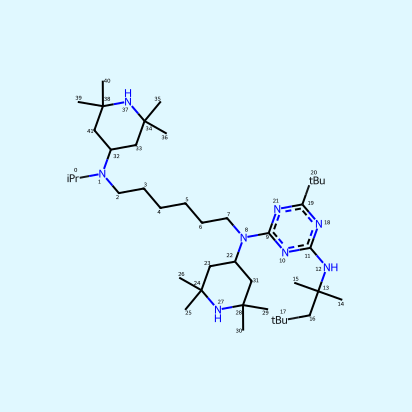 CC(C)N(CCCCCCN(c1nc(NC(C)(C)CC(C)(C)C)nc(C(C)(C)C)n1)C1CC(C)(C)NC(C)(C)C1)C1CC(C)(C)NC(C)(C)C1